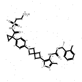 Cc1ccccc1[C@@H](C)OC(=O)Nc1c(C)noc1C1CC2(C1)CN(c1ccc(C3(C(=O)NS(=O)(=O)CCC(=O)O)CC3)cc1)C2